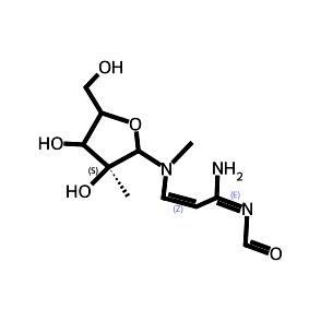 CN(/C=C\C(N)=N/C=O)C1OC(CO)C(O)[C@]1(C)O